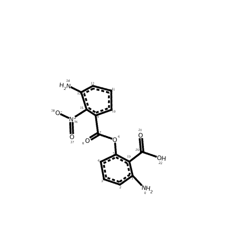 Nc1cccc(OC(=O)c2cccc(N)c2[N+](=O)[O-])c1C(=O)O